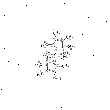 CC(=O)[O][Ti]([O]C(C)=O)([C]1=C(C)C(C)=C(C)C1(C)C)[C]1=C(C)C(C)=C(C)C1(C)C